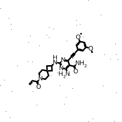 C=CC(=O)N1CCC2(CC1)CC(Nc1nc(N)c(C(N)=O)c(C#Cc3cc(OC)cc(OC)c3)n1)C2